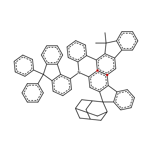 CC1(C)c2ccccc2-c2cccc(-c3ccccc3N(c3ccc4c(c3)C3(c5ccccc5-4)C4CC5CC(C4)CC3C5)c3cccc4c3-c3ccccc3C4(c3ccccc3)c3ccccc3)c21